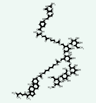 CCC1OC(OC2C(COC(=O)NCCNC(=O)CC[C@H](NC(=O)c3ccc(NCc4cnc5nc(N)[nH]c(=O)c5n4)cc3)C(=O)O)OC(OC3C(COC(=O)NCCCCCCNC(=O)OC4CCC5(C)C(=CCC6C5CCC5(C)C(C(C)CCCC(C)C)CCC65)C4)OC(OCC4OC(OC5C(CO)OC(OC6C(CO)OC(OC)C(O)C6O)C(O)C5O)C(O)C(O)C4O)C(O)C3O)C(O)C2O)C(O)C(O)C1O